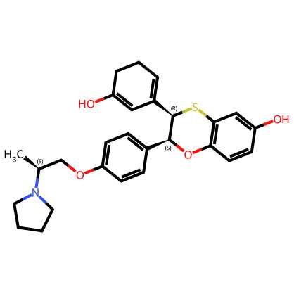 C[C@@H](COc1ccc([C@@H]2Oc3ccc(O)cc3S[C@@H]2C2=CCCC(O)=C2)cc1)N1CCCC1